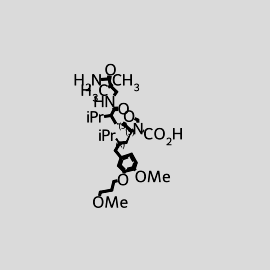 COCCCOc1cc(C[C@H](C[C@H]2[C@H](CC(C(=O)NCC(C)(C)C(N)=O)C(C)C)OCN2C(=O)O)C(C)C)ccc1OC